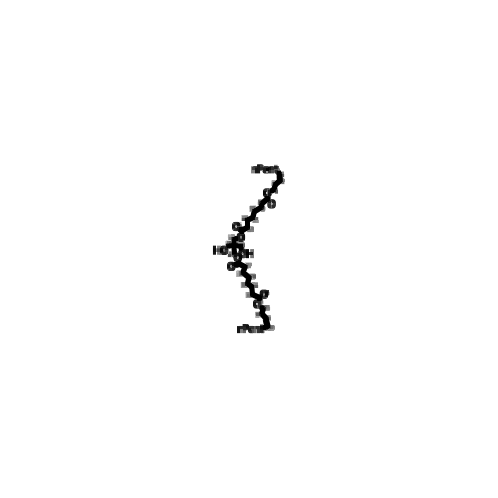 CCCCC/C=C\CCOC(=O)CCCCCCC(=O)OCC(CO)(CO)COC(=O)CCCCCCC(=O)OCC/C=C\CCCCC